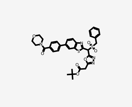 CC(C)(C)OC(=O)Cc1nnc(C(c2nc3ccc(-c4ccc(C(=O)N5CCOCC5)cc4)cc3s2)S(=O)(=O)Cc2ccccc2)o1